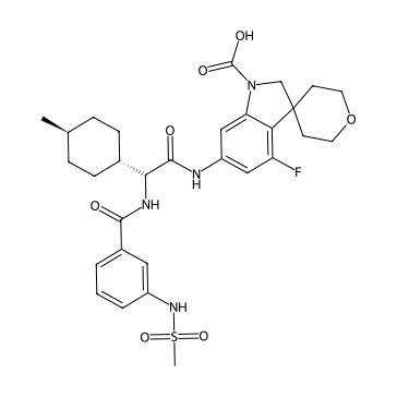 CS(=O)(=O)Nc1cccc(C(=O)NC(C(=O)Nc2cc(F)c3c(c2)N(C(=O)O)CC32CCOCC2)[C@H]2CC[C@H](C)CC2)c1